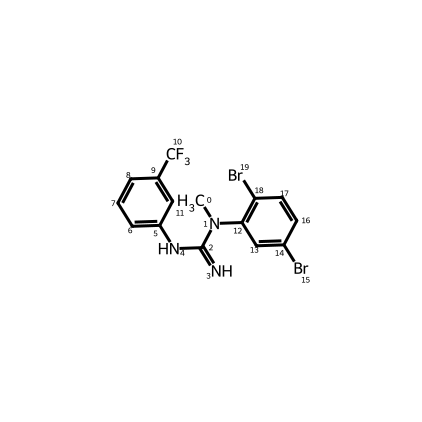 CN(C(=N)Nc1cccc(C(F)(F)F)c1)c1cc(Br)ccc1Br